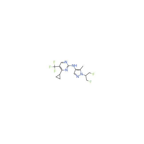 Cc1c(Nc2ncc(C(F)(F)F)c(C3CC3)n2)cnn1C(CF)CF